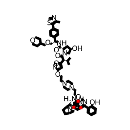 Cc1ncsc1-c1ccc([C@@H](COCC2CCOCC2)NC(=O)[C@@H]2C[C@@H](O)CN2C(=O)[C@@H](c2cc(OCCN3CCN(CCOc4cc(N5C6CCC5CN(c5cc(-c7ccccc7O)nnc5N)C6)ccn4)CC3)no2)C(C)C)cc1